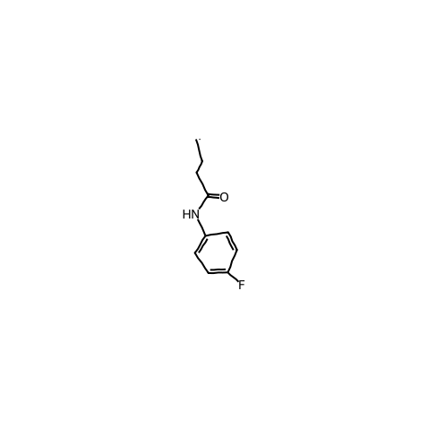 [CH2]CCC(=O)Nc1ccc(F)cc1